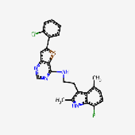 Cc1[nH]c2c(F)ccc(C)c2c1CCNc1ncnc2cc(-c3ccccc3Cl)sc12